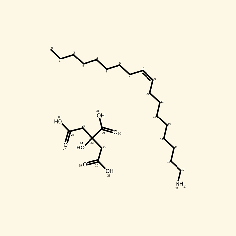 CCCCCCCC/C=C\CCCCCCCCN.O=C(O)CC(O)(CC(=O)O)C(=O)O